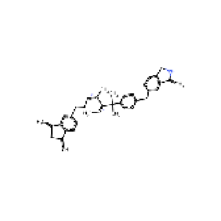 C=C1NCc2ccc(Cc3ccc(C(C)(C)C(=C/C)/C(C)=C\CCc4ccc5c(c4)C(=C)CC5=C)cc3)cc21